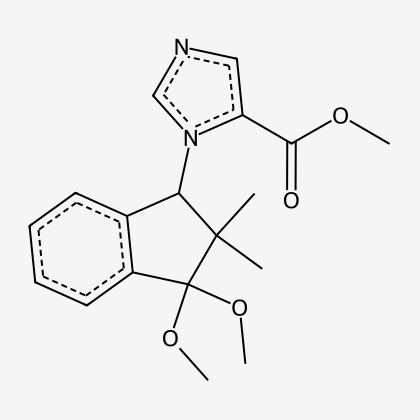 COC(=O)c1cncn1C1c2ccccc2C(OC)(OC)C1(C)C